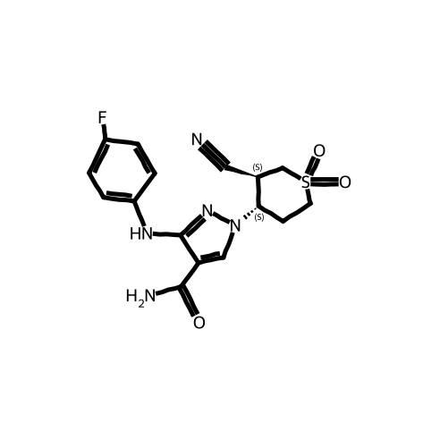 N#C[C@H]1CS(=O)(=O)CC[C@@H]1n1cc(C(N)=O)c(Nc2ccc(F)cc2)n1